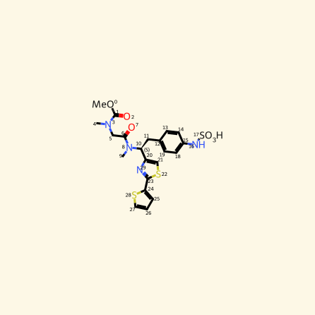 COC(=O)N(C)CC(=O)N(C)[C@@H](Cc1ccc(NS(=O)(=O)O)cc1)c1csc(-c2cccs2)n1